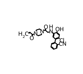 C=CC(=O)N1CCN(C(=O)CNc2cc(-c3ccccc3C#N)c(Cl)cc2O)CC1